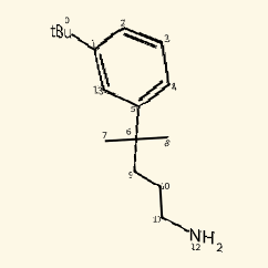 CC(C)(C)c1cccc(C(C)(C)CCCN)c1